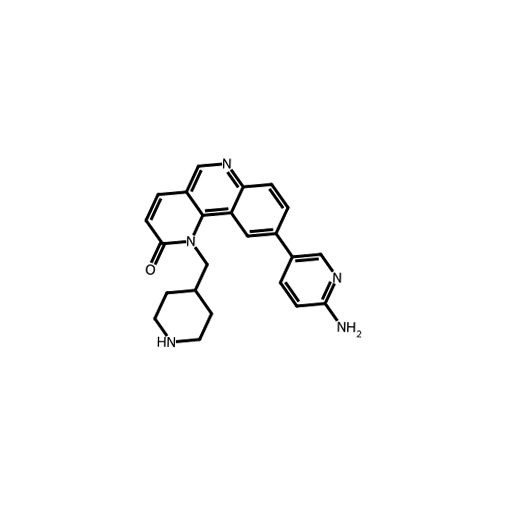 Nc1ccc(-c2ccc3ncc4ccc(=O)n(CC5CCNCC5)c4c3c2)cn1